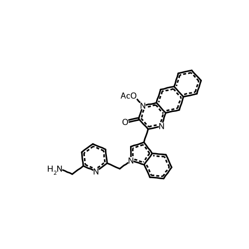 CC(=O)On1c(=O)c(-c2cn(Cc3cccc(CN)n3)c3ccccc23)nc2cc3ccccc3cc21